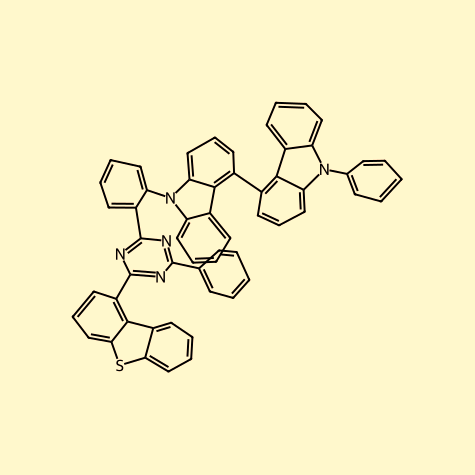 c1ccc(-c2nc(-c3ccccc3-n3c4ccccc4c4c(-c5cccc6c5c5ccccc5n6-c5ccccc5)cccc43)nc(-c3cccc4sc5ccccc5c34)n2)cc1